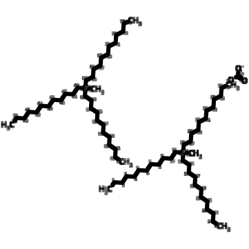 CCCCCCCCCCCC[N+](C)(CCCCCCCCCCCC)CCCCCCCCCCCC.CCCCCCCCCCCC[N+](C)(CCCCCCCCCCCC)CCCCCCCCCCCC.O=C([O-])[O-]